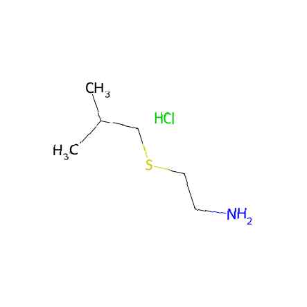 CC(C)CSCCN.Cl